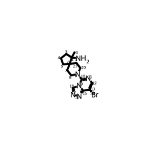 CC1(N)CCCC12CCN(c1ncc(Br)c3nncn13)CC2